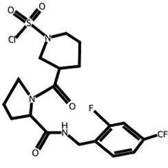 O=C(NCc1ccc(C(F)(F)F)cc1F)C1CCCN1C(=O)C1CCCN(S(=O)(=O)Cl)C1